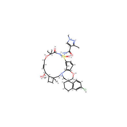 Cc1nn(C)cc1C(=O)NS1(=O)=NC(=O)C(C)(C)OC/C=C/[C@H](O)[C@@H]2CC[C@H]2CN2C[C@@]3(CCCc4cc(Cl)ccc43)COc3ccc1cc32